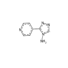 Nn1[c]nnc1-c1ccncc1